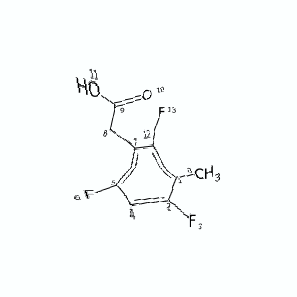 Cc1c(F)cc(F)c(CC(=O)O)c1F